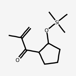 C=C(C)C(=O)C1CCC[C]1O[Si](C)(C)C